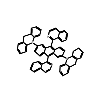 C1=CC2=C(CC1)N(c1ccc3c(-c4nccc5ccccc45)c4cc(N5c6ccccc6Cc6ccccc65)ccc4c(-c4nccc5ccccc45)c3c1)c1ccccc1C2